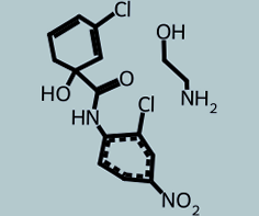 NCCO.O=C(Nc1ccc([N+](=O)[O-])cc1Cl)C1(O)C=C(Cl)C=CC1